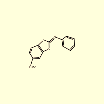 COc1ccc2sc(=Nc3ccccc3)sc2c1